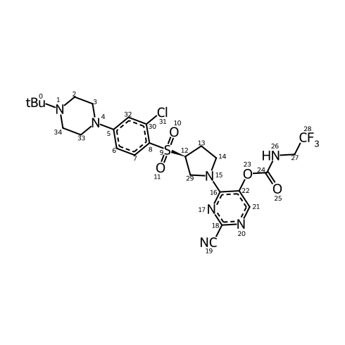 CC(C)(C)N1CCN(c2ccc(S(=O)(=O)[C@H]3CCN(c4nc(C#N)ncc4OC(=O)NCC(F)(F)F)C3)c(Cl)c2)CC1